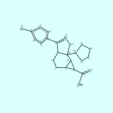 O=C(O)C1C2CCC3C(c4ccc(Cl)cc4)=NOC3(N3CCCC3)C21